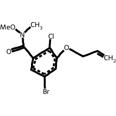 C=CCOc1cc(Br)cc(C(=O)N(C)OC)c1Cl